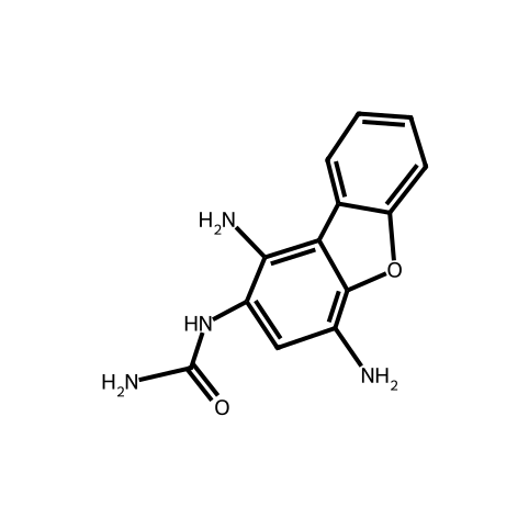 NC(=O)Nc1cc(N)c2oc3ccccc3c2c1N